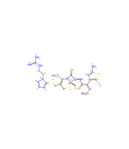 CO/N=C(\C(=O)N[C@@H]1C(=O)N2C(C(=O)O)=C(CSc3nnnn3CCNC(=N)N)CS[C@@H]12)c1nc(N)sc1Cl